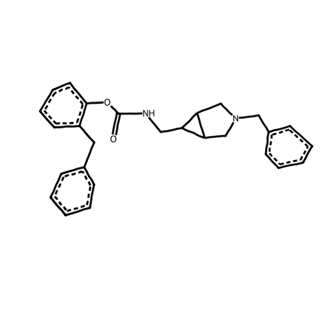 O=C(NCC1C2CN(Cc3ccccc3)CC12)Oc1ccccc1Cc1ccccc1